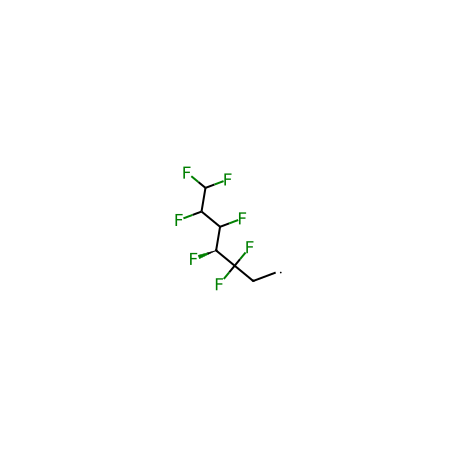 [CH2]CC(F)(F)[C@@H](F)C(F)C(F)C(F)F